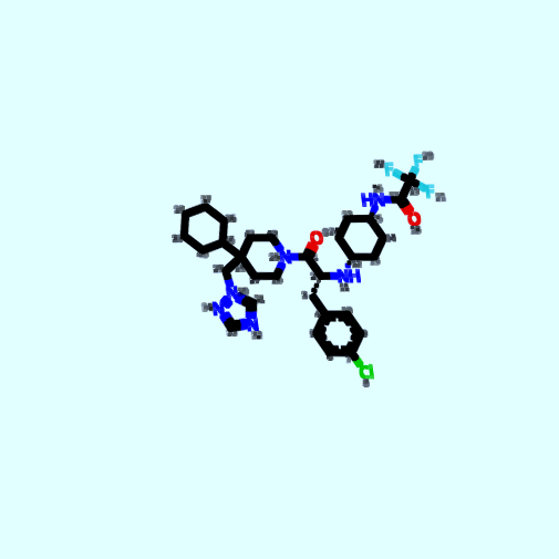 O=C([C@@H](Cc1ccc(Cl)cc1)N[C@H]1CC[C@H](NC(=O)C(F)(F)F)CC1)N1CCC(Cn2cncn2)(C2CCCCC2)CC1